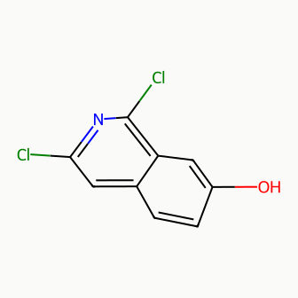 Oc1ccc2cc(Cl)nc(Cl)c2c1